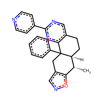 C[C@@H]1c2oncc2CC2(c3ccccc3)c3nc(-c4ccncc4)ncc3CC[C@@H]12